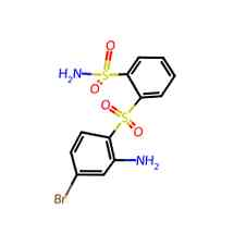 Nc1cc(Br)ccc1S(=O)(=O)c1ccccc1S(N)(=O)=O